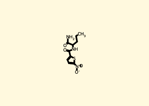 CCCC(NC(=O)c1ccc([N+](=O)[O-])s1)C(N)=O